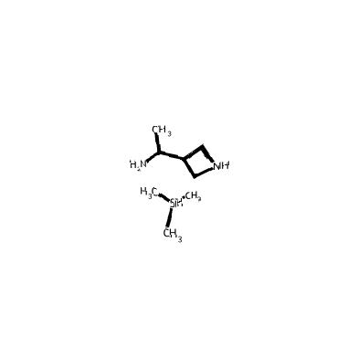 CC(N)C1CNC1.C[SiH](C)C